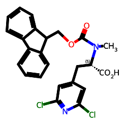 CN(C(=O)OCC1c2ccccc2-c2ccccc21)[C@@H](Cc1cc(Cl)nc(Cl)c1)C(=O)O